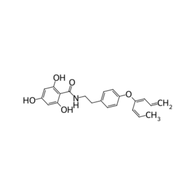 C=C/C=C(\C=C/C)Oc1ccc(CCNC(=O)c2c(O)cc(O)cc2O)cc1